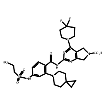 O=C(Nc1nc2c(c(N3CCC(F)(F)CC3)n1)CN(C(=O)O)C2)c1ccc(NS(=O)(=O)CCO)cc1N1CCC2(CC1)CC2